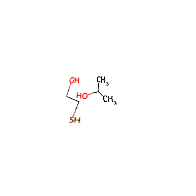 CC(C)O.OCCS